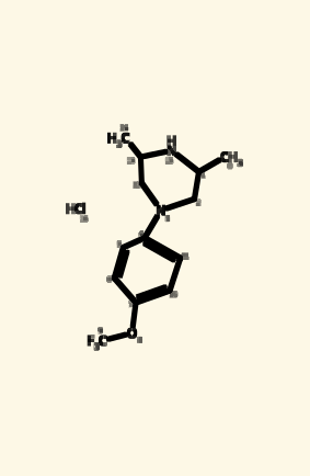 CC1CN(c2ccc(OC(F)(F)F)cc2)CC(C)N1.Cl